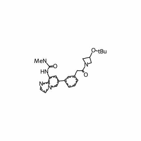 CNC(=O)Nc1cc(-c2cccc(CC(=O)N3CC(OC(C)(C)C)C3)c2)cn2ccnc12